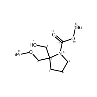 CC(C)OCC1(CO)CCCN1C(=O)OC(C)(C)C